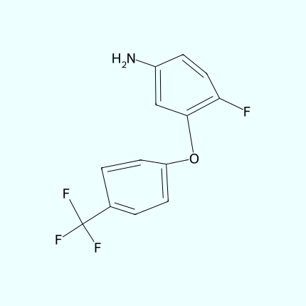 Nc1ccc(F)c(Oc2ccc(C(F)(F)F)cc2)c1